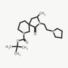 CC1CC2(CCCN(C(=O)OC(C)(C)C)C2)C(=O)N1CCN1CCCC1